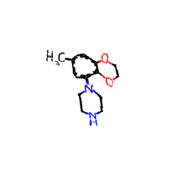 Cc1cc2c(c(N3CCNCC3)c1)OCCO2